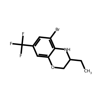 CCC1COc2cc(C(F)(F)F)cc(Br)c2N1